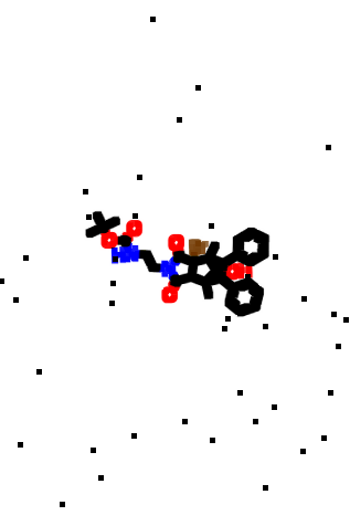 CC(C)(C)OC(=O)NCCN1C(=O)C2C3(C)C(c4ccccc4)=C(c4ccccc4)C(C)(C3O)C2(Br)C1=O